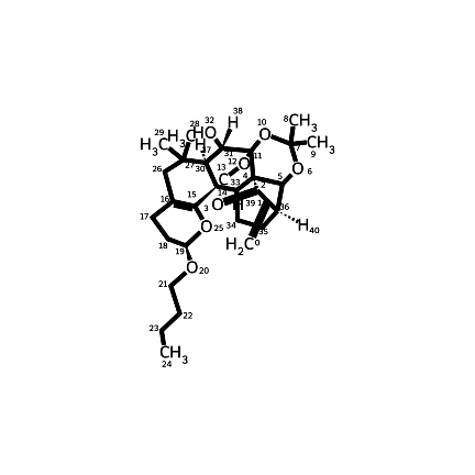 C=C1C(=O)[C@@]23C4OC(C)(C)OC25OC[C@]2(C6=C(CC[C@H](OCCCC)O6)CC(C)(C)[C@H]2[C@@H]5O)[C@@H]3CC[C@@H]14